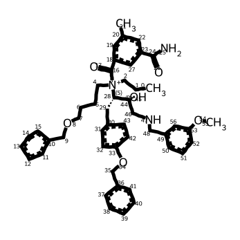 CCC[N+](CCCCOCc1ccccc1)(C(=O)c1cc(C)cc(C(N)=O)c1)[C@@H](Cc1ccc(OCc2ccccc2)cc1)[C@H](O)CNCc1cccc(OC)c1